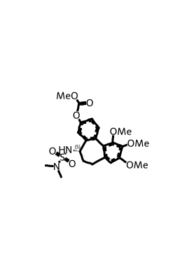 COC(=O)Oc1ccc2c(c1)[C@@H](NS(=O)(=O)N(C)C)CCc1cc(OC)c(OC)c(OC)c1-2